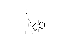 CN(C)CCCc1nc2c(N)nc3ccccc3c2[nH]1